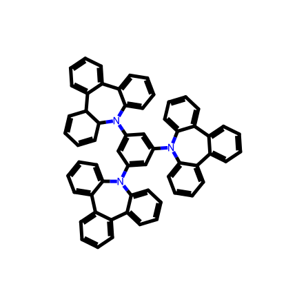 C1=CC2c3ccccc3-c3ccccc3N(c3cc(N4c5ccccc5-c5ccccc5-c5ccccc54)cc(N4c5ccccc5-c5ccccc5-c5ccccc54)c3)C2C=C1